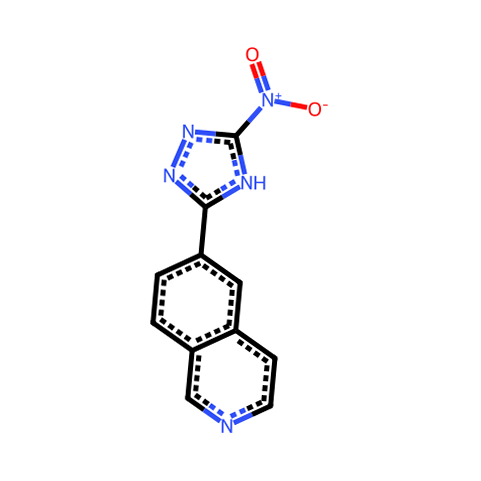 O=[N+]([O-])c1nnc(-c2ccc3cnccc3c2)[nH]1